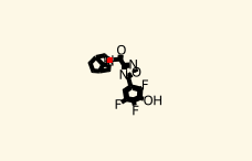 O=C(c1noc(-c2cc(F)c(F)c(O)c2F)n1)N1CC2CCC(C1)C2(F)F